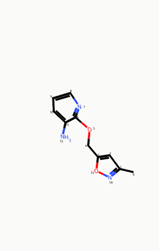 Cc1cc(COc2ncccc2N)on1